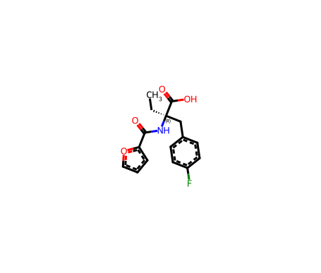 CC[C@](Cc1ccc(F)cc1)(NC(=O)c1ccco1)C(=O)O